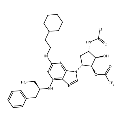 CCC(=O)N[C@H]1C[C@@H](n2cnc3c(N[C@H](CO)Cc4ccccc4)nc(NCCN4CCCCC4)nc32)[C@H](OC(=O)C(F)(F)F)[C@@H]1O